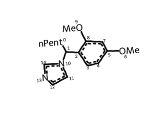 CCCCCC(c1ccc(OC)cc1OC)n1ccnc1